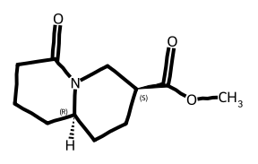 COC(=O)[C@H]1CC[C@H]2CCCC(=O)N2C1